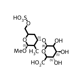 CO[C@H]1OC(COS(=O)(=O)O)C[C@H](O[C@@H]2OC(C(=O)O)[C@@H](O)[C@H](O)C2O)C1C